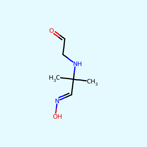 CC(C)(/C=N/O)NCC=O